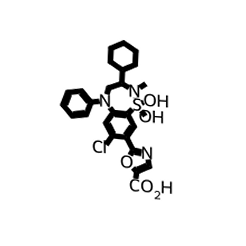 CN1C(C2CCCCC2)CN(c2ccccc2)c2cc(Cl)c(-c3ncc(C(=O)O)o3)cc2S1(O)O